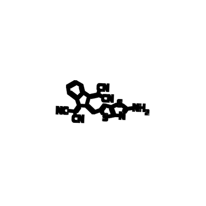 N#CC(C#N)=C1C(=Cc2cc3sc(N)nc3s2)C(=C(C#N)C#N)c2ccccc21